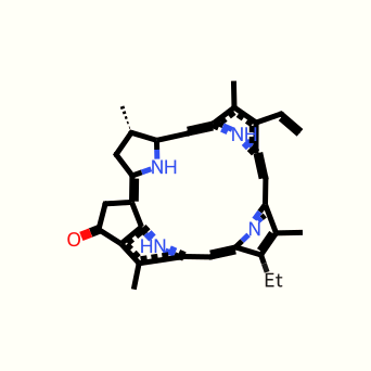 C=Cc1c(C)/c2[nH]/c1=C\C1=NC(=C\c3[nH]c4c(c3C)C(=O)C/C4=C3\C[C@H](C)C(/C=2)N3)/C(CC)=C1C